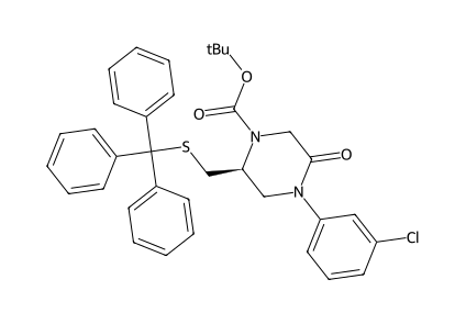 CC(C)(C)OC(=O)N1CC(=O)N(c2cccc(Cl)c2)C[C@H]1CSC(c1ccccc1)(c1ccccc1)c1ccccc1